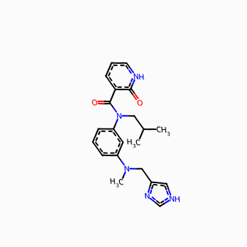 CC(C)CN(C(=O)c1ccc[nH]c1=O)c1cccc(N(C)Cc2c[nH]cn2)c1